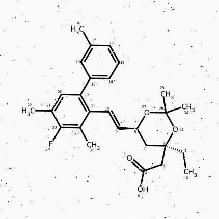 CC[C@]1(CC(=O)O)C[C@@H](C=Cc2c(-c3cccc(C)c3)cc(C)c(F)c2C)OC(C)(C)O1